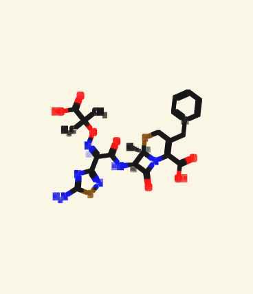 CC(C)(O/N=C(\C(=O)N[C@@H]1C(=O)N2C(C(=O)O)=C(C[si]3ccccc3)CS[C@H]12)c1nsc(N)n1)C(=O)O